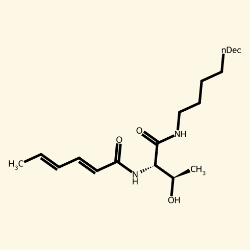 C/C=C/C=C/C(=O)N[C@H](C(=O)NCCCCCCCCCCCCCC)[C@@H](C)O